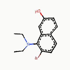 CCN(CC)c1c(Br)ccc2ccc(O)cc12